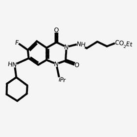 CCOC(=O)CCCNn1c(=O)c2cc(F)c(NC3CCCCC3)cc2n(C(C)C)c1=O